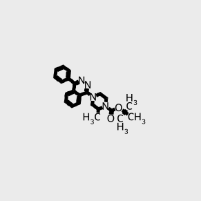 CC1CN(c2nnc(-c3ccccc3)c3ccccc23)CCN1C(=O)OC(C)(C)C